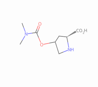 CN(C)C(=O)OC1CN[C@H](C(=O)O)C1